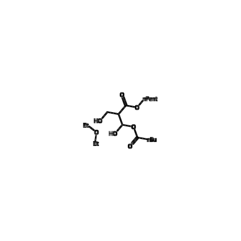 CCCCCOC(=O)C(CO)C(O)OC(=O)CCCC.CCOCC